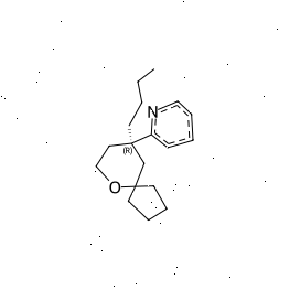 CCCC[C@@]1(c2ccccn2)CCOC2(CCCC2)C1